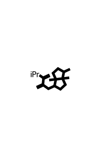 C=C(CC1CCC2(C)C(C)CCC12C)C(=C)C(C)C